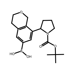 CC(C)(C)OC(=O)N1CCCC1c1cc(B(O)O)cc2c1COCC2